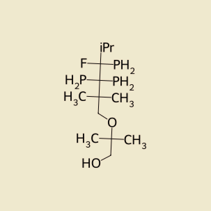 CC(C)C(F)(P)C(P)(P)C(C)(C)COC(C)(C)CO